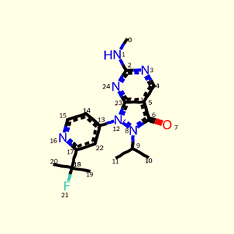 CNc1ncc2c(=O)n(C(C)C)n(-c3ccnc(C(C)(C)F)c3)c2n1